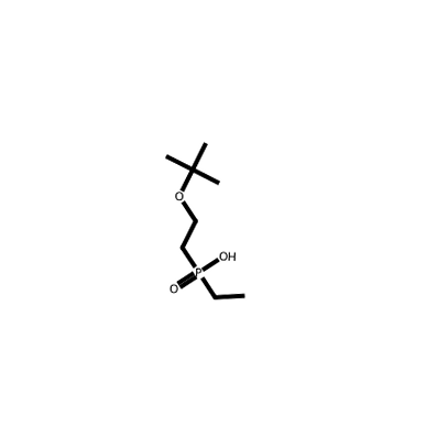 CCP(=O)(O)CCOC(C)(C)C